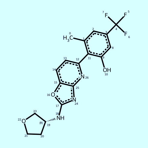 Cc1cc(C(F)(F)F)cc(O)c1-c1ccc2oc(N[C@@H]3CCOC3)nc2n1